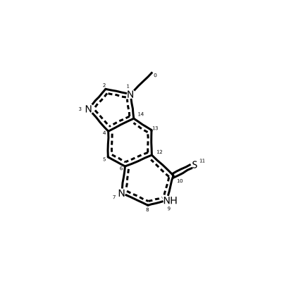 Cn1cnc2cc3nc[nH]c(=S)c3cc21